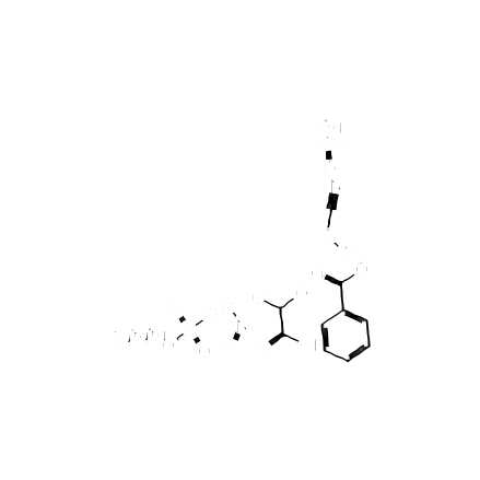 CC(O)C(=O)O.N#C[O][Ag].O=C([O-])c1ccccc1.O=N[O-].O=S(=O)([O-])[O-].[Ag+].[Ag+].[Ag+].[Ag+].[O]=[Ag]